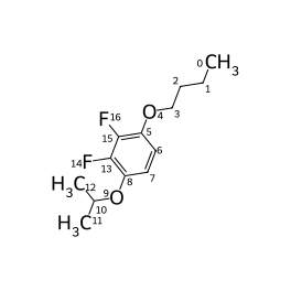 CCCCOc1ccc(OC(C)C)c(F)c1F